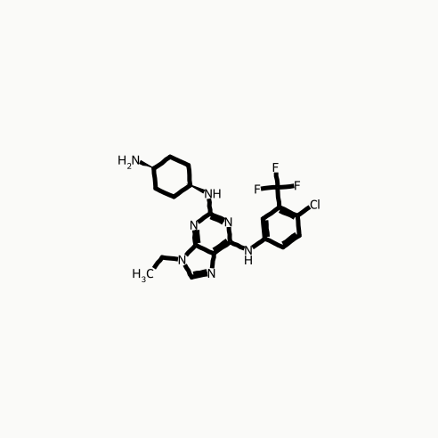 CCn1cnc2c(Nc3ccc(Cl)c(C(F)(F)F)c3)nc(N[C@H]3CC[C@@H](N)CC3)nc21